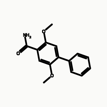 COc1cc(-c2ccccc2)c(OC)cc1C(N)=O